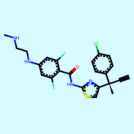 C#C[C@@](C)(c1ccc(Cl)cc1)c1csc(NC(=O)c2c(F)cc(NCCNC)cc2F)n1